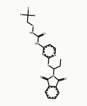 CCC(Sc1nccc(NC(=O)NSCC(F)(F)F)n1)N1C(=O)c2ccccc2C1=O